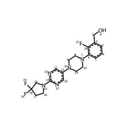 OCc1cccc(N2CCN(c3cnc(N4CCC(F)(F)C4)nc3)CC2)c1F